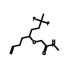 C=CCCC(CCC(C)(F)F)OCC(=O)NC